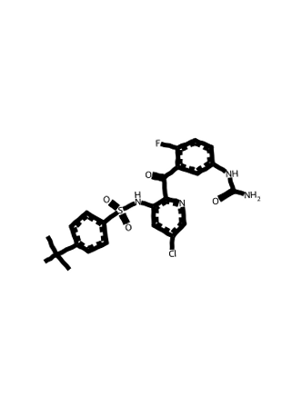 CC(C)(C)c1ccc(S(=O)(=O)Nc2cc(Cl)cnc2C(=O)c2cc(NC(N)=O)ccc2F)cc1